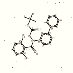 CC(C)(C)OC(=O)CN(C(=O)c1c(F)cccc1Cl)c1cccc(-c2ccccc2)c1